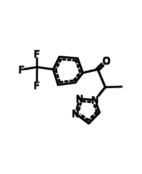 CC(C(=O)c1ccc(C(F)(F)F)cc1)n1ccnn1